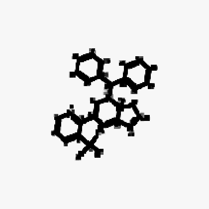 FC(F)(F)c1cccnc1C1=CN(C(c2ccccc2)c2ccccc2)N2CN=NC2=C1